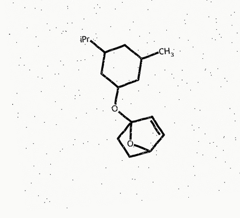 CC1CC(OC23C=CC(CC2)O3)CC(C(C)C)C1